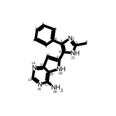 Cc1nc(-c2ccccc2)c(-c2cc3ncnc(N)c3[nH]2)[nH]1